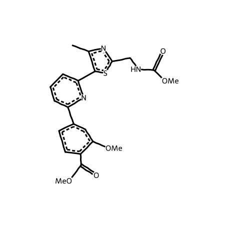 COC(=O)NCc1nc(C)c(-c2cccc(-c3ccc(C(=O)OC)c(OC)c3)n2)s1